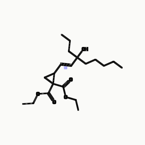 CCCCCC(O)(/C=C/C1CC1(C(=O)OCC)C(=O)OCC)CCC